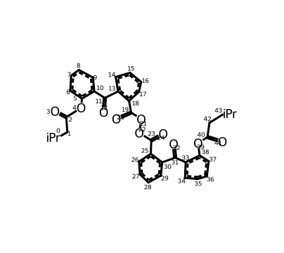 CC(C)CC(=O)Oc1ccccc1C(=O)c1ccccc1C(=O)OOC(=O)c1ccccc1C(=O)c1ccccc1OC(=O)CC(C)C